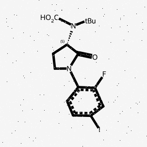 CC(C)(C)N(C(=O)O)[C@H]1CCN(c2ccc(I)cc2F)C1=O